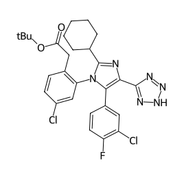 CC(C)(C)OC(=O)Cc1ccc(Cl)cc1-n1c(C2CCCCC2)nc(-c2nn[nH]n2)c1-c1ccc(F)c(Cl)c1